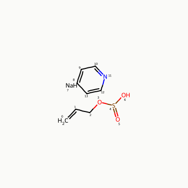 C=CCOS(=O)O.[NaH].c1ccncc1